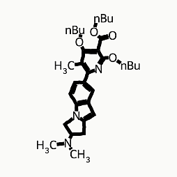 CCCCOC(=O)c1c(OCCCC)nc(-c2ccc3c(c2)cc2n3CC(N(C)C)C2)c(C)c1OCCCC